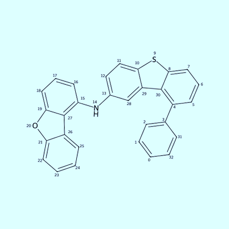 c1ccc(-c2cccc3sc4ccc(Nc5cccc6oc7ccccc7c56)cc4c23)cc1